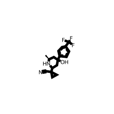 C[C@H]1CC(O)(c2ccc(C(F)(F)F)cc2)CC(C2(C#N)CC2)N1